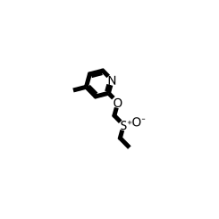 CC[S+]([O-])COc1cc(C)ccn1